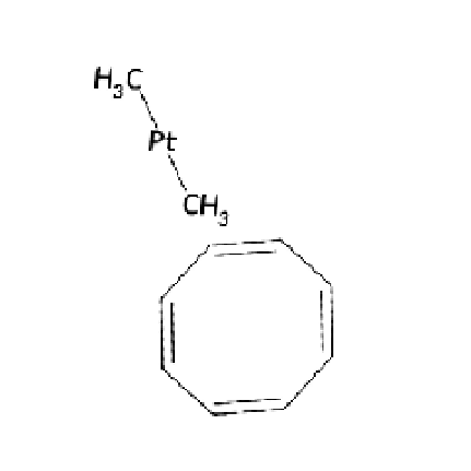 C1=CC=CC=CC=C1.[CH3][Pt][CH3]